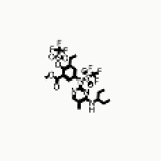 CCc1cc(N(c2ncc(C)c(NC(CC)CC)n2)S(=O)(=O)C(F)(F)F)cc(C(=O)OC)c1OS(=O)(=O)C(F)(F)F